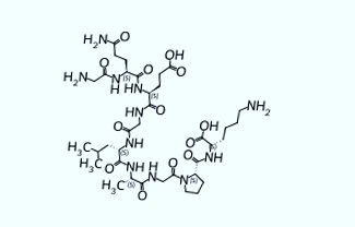 CC(C)C[C@H](NC(=O)CNC(=O)[C@H](CCC(=O)O)NC(=O)[C@H](CCC(N)=O)NC(=O)CN)C(=O)N[C@@H](C)C(=O)NCC(=O)N1CCC[C@H]1C(=O)N[C@@H](CCCCN)C(=O)O